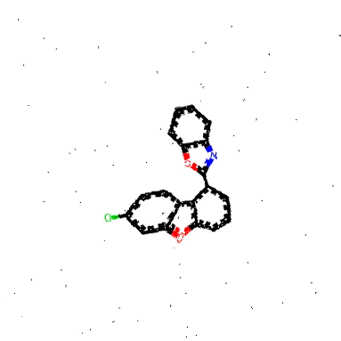 Clc1ccc2c(c1)oc1cccc(-c3nc4ccccc4o3)c12